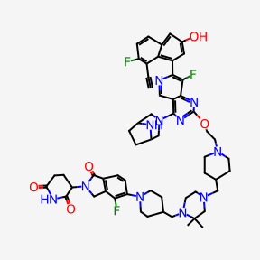 C#Cc1c(F)ccc2cc(O)cc(-c3ncc4c(N5CC6CCC(C5)N6)nc(OCCN5CCC(CN6CCN(CC7CCN(c8ccc9c(c8F)CN(C8CCC(=O)NC8=O)C9=O)CC7)C(C)(C)C6)CC5)nc4c3F)c12